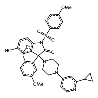 CCOc1ccc(OC)cc1C1(N2CCN(c3ccnc(C4CC4)c3)CC2)C(=O)N(S(=O)(=O)c2ccc(OC)cn2)c2ccc(C#N)cc21